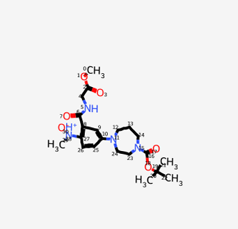 COC(=O)CNC(=O)c1cc(N2CCCN(C(=O)OC(C)(C)C)CC2)ccc1[NH+](C)[O-]